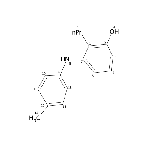 CCCc1c(O)cccc1Nc1ccc(C)cc1